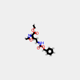 CCOC(=O)c1nc(C)oc1CCNC(=O)OCc1ccccc1